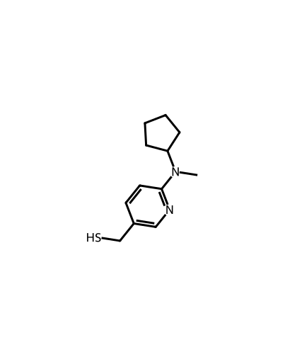 CN(c1ccc(CS)cn1)C1CCCC1